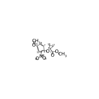 COC(=O)C1(Oc2ccc(OC)cc2[N+](=O)[O-])CC1